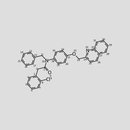 O=C(Cc1ccccc1Cl)N(Cc1ccccc1)c1ccc(OCc2ccc3ccccc3n2)cc1